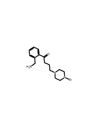 CCN1CCN(CCCC(=O)c2ccccc2CN)CC1